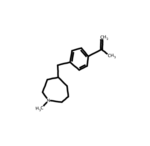 C=C(C)c1ccc(CC2CCCN(C)CC2)cc1